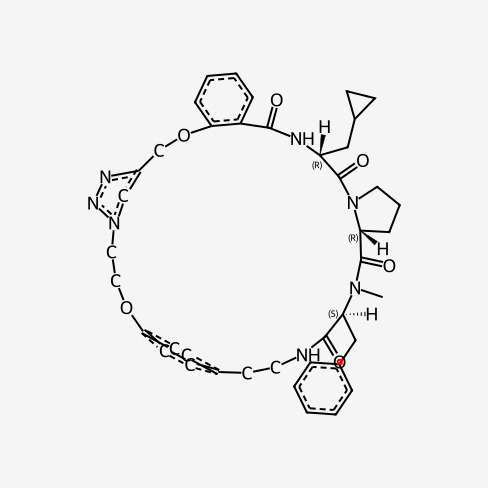 CN1C(=O)[C@H]2CCCN2C(=O)[C@@H](CC2CC2)NC(=O)c2ccccc2OCc2cn(nn2)CCOc2ccc(cc2)CCNC(=O)[C@@H]1Cc1ccccc1